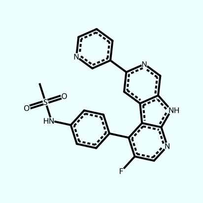 CS(=O)(=O)Nc1ccc(-c2c(F)cnc3[nH]c4cnc(-c5cccnc5)cc4c23)cc1